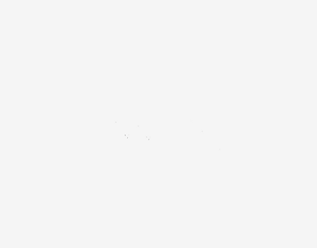 FC(F)(F)c1cc(CCNC(=S)NC2=CC[CH]C=C2)cc(C(F)(F)F)c1